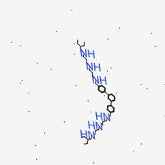 CCC(CC)CNCCCNCCCNCc1ccc(-c2cccc(-c3ccc(CNCCCNCCCNCC(CC)CC)cc3)c2)cc1